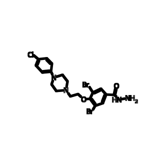 NNC(=O)c1cc(Br)c(OCCN2CCN(c3ccc(Cl)cc3)CC2)c(Br)c1